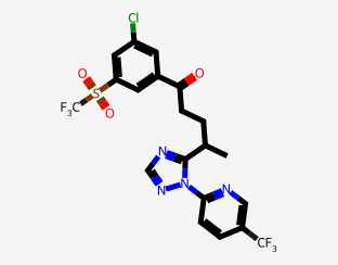 CC(CCC(=O)c1cc(Cl)cc(S(=O)(=O)C(F)(F)F)c1)c1ncnn1-c1ccc(C(F)(F)F)cn1